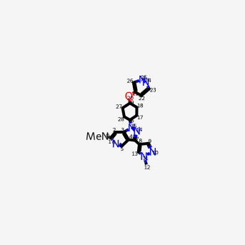 CNc1cc2c(cn1)c(-c1cnn(C)c1)nn2C1CCC(Oc2ccnnc2)CC1